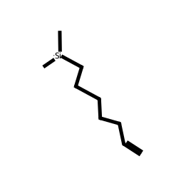 C=CCCCCC[Si](C)C